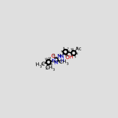 CC(=O)c1cccc(-c2cccc(N/N=C3/C(=O)N(c4ccc(C)c(C)c4)N=C3C)c2O)c1